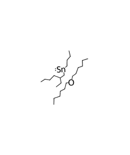 CCCCCCOCCCCCC.CCC[CH2][Sn][CH2]C(CC)CCCC